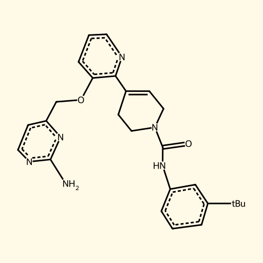 CC(C)(C)c1cccc(NC(=O)N2CC=C(c3ncccc3OCc3ccnc(N)n3)CC2)c1